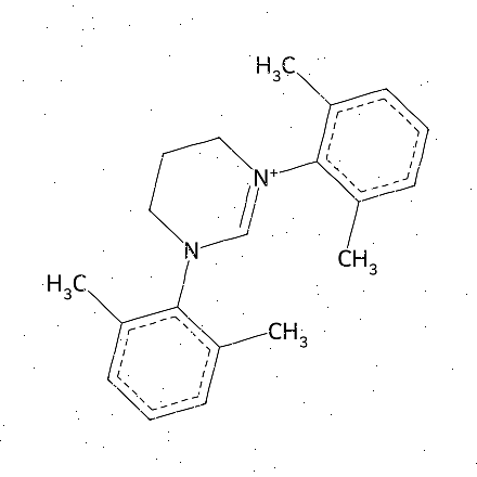 Cc1cccc(C)c1N1C=[N+](c2c(C)cccc2C)CCC1